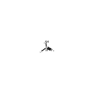 P#[SH](S)I